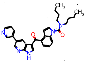 CCCCN(CCCC)C(=O)n1ccc2c(C(=O)c3c[nH]c4ncc(-c5cccnc5)cc34)cccc21